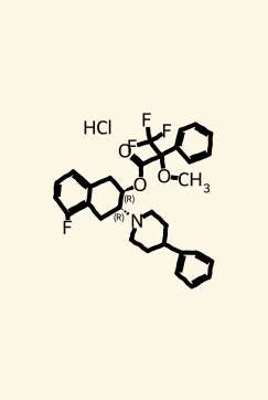 COC(C(=O)O[C@@H]1Cc2cccc(F)c2C[C@H]1N1CCC(c2ccccc2)CC1)(c1ccccc1)C(F)(F)F.Cl